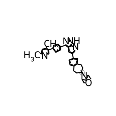 Cc1cc(C)c(-c2ccc(-c3n[nH]c4ncc(-c5ccc6c(c5)CC[C@@H](N5C7COCC5C7)CC6)cc34)cc2)cn1